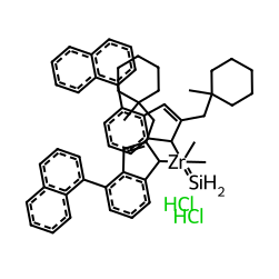 CC1(CC2=Cc3c(-c4cccc5ccccc45)cccc3[CH]2[Zr]([CH3])([CH3])(=[SiH2])[CH]2C(CC3(C)CCCCC3)=Cc3c(-c4cccc5ccccc45)cccc32)CCCCC1.Cl.Cl